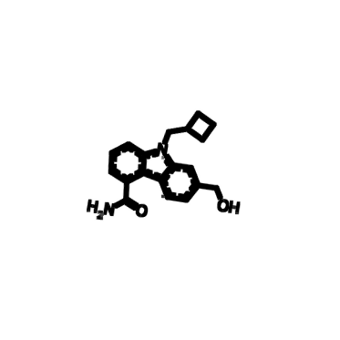 NC(=O)c1cccc2c1c1[c]cc(CO)cc1n2CC1CCC1